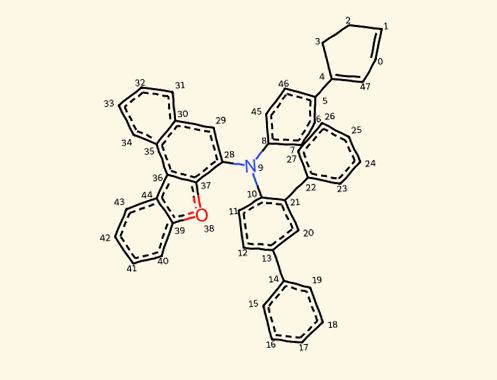 C1=CCCC(c2ccc(N(c3ccc(-c4ccccc4)cc3-c3ccccc3)c3cc4ccccc4c4c3oc3ccccc34)cc2)=C1